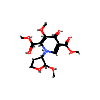 COC(=O)c1cn([C@@H]2CCOC2OC)c(C(=O)OC)c(OC)c1=O